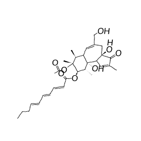 CCC/C=C/C=C/C=C/C(=O)O[C@@H]1[C@@H](C)[C@@]2(O)C(C=C(CO)C[C@]3(O)C(=O)C(C)=CC23)[C@H](C)[C@@]1(C)OC(C)=O